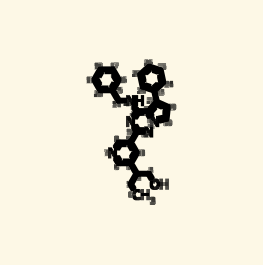 CCC(CO)c1cncc(-c2nc(NCc3ccccc3)c3c(-c4ccccc4)ccn3n2)c1